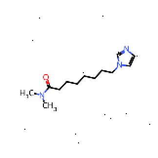 CN(C)C(=O)CCCCCCCn1c[c]nc1